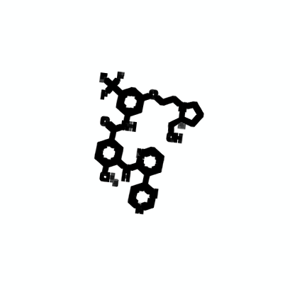 Cc1ccc(C(=O)Nc2cc(OCCN3CCC[C@H]3CO)cc(C(F)(F)F)c2)cc1Nc1ncccc1-c1ccncn1